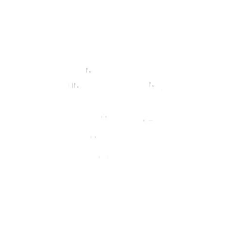 CCOC(=O)c1cccc(Nc2cc(-c3ccc(OC)c(N)c3)ccn2)c1